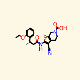 CCOc1ccccc1[C@@H](C)CC(=O)Nc1sc2c(c1C#N)CCN(C(=O)O)C2